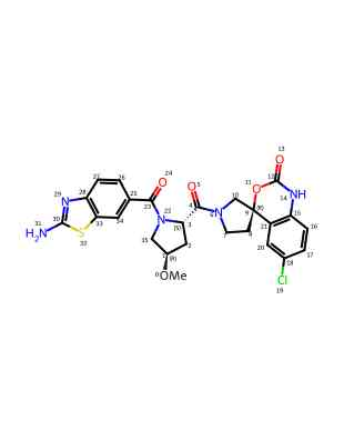 CO[C@@H]1C[C@@H](C(=O)N2CC[C@@]3(C2)OC(=O)Nc2ccc(Cl)cc23)N(C(=O)c2ccc3nc(N)sc3c2)C1